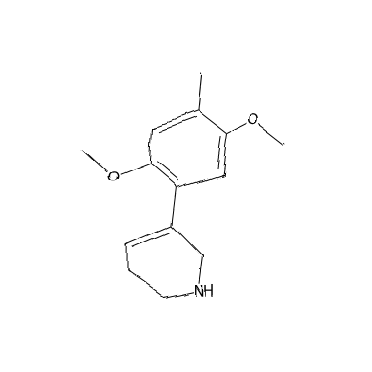 COc1cc(C2=CCCNC2)c(OC)cc1C